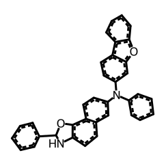 c1ccc(C2Nc3ccc4cc(N(c5ccccc5)c5ccc6c(c5)oc5ccccc56)ccc4c3O2)cc1